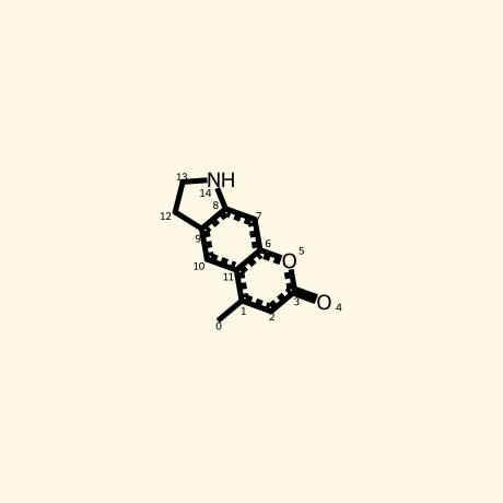 Cc1cc(=O)oc2cc3c(cc12)CCN3